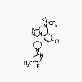 Cc1cc(N2CCC(c3nnc4n3-c3ccc(Cl)cc3CN(C3(C(F)(F)F)CC3)C4)CC2)ncc1F